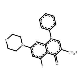 O=C(O)c1cn(-c2ccccc2)c2nc(N3CCOCC3)cc(F)c2c1=O